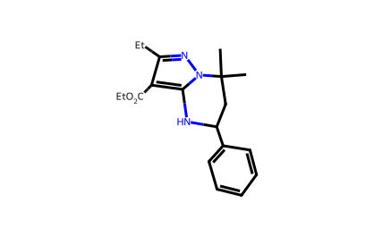 CCOC(=O)c1c(CC)nn2c1NC(c1ccccc1)CC2(C)C